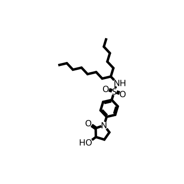 CCCCCCCC(CCCCC)NS(=O)(=O)c1ccc(N2CCC(O)C2=O)cc1